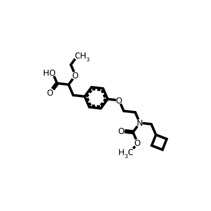 CCOC(Cc1ccc(OCCN(CC2CCC2)C(=O)OC)cc1)C(=O)O